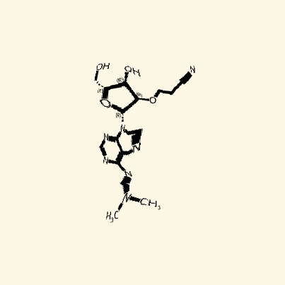 CN(C)C=Nc1ncnc2c1ncn2[C@@H]1O[C@H](CO)[C@@H](O)[C@H]1OCCC#N